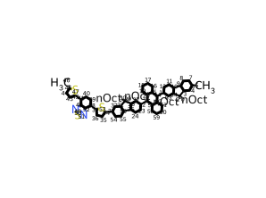 CCCCCCCCC1(CCCCCCCC)c2cc(C)ccc2-c2ccc(-c3c4ccccc4c(-c4ccc5c(c4)C(CCCCCCCC)(CCCCCCCC)c4cc(-c6ccc(-c7ccc(-c8ccc(C)s8)c8nsnc78)s6)ccc4-5)c4ccccc34)cc21